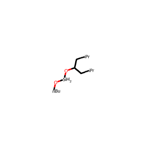 CCCCO[SiH2]OC(CC(C)C)CC(C)C